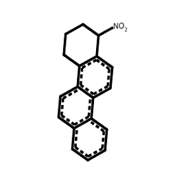 O=[N+]([O-])C1CCCc2c1ccc1c2ccc2ccccc21